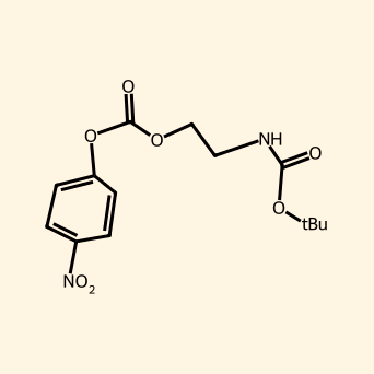 CC(C)(C)OC(=O)NCCOC(=O)Oc1ccc([N+](=O)[O-])cc1